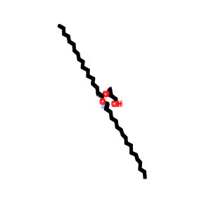 CCCCCCCCCCCCCCCC/C=C/O/C=C/CCCCCCCCCCCCCCCC.OCC1CO1